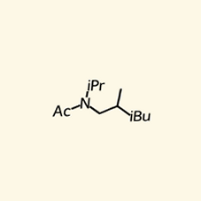 CCC(C)C(C)CN(C(C)=O)C(C)C